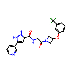 O=C(NCC(=O)N1CC(Oc2cccc(C(F)(F)F)c2)C1)C1C=C(c2cccnc2)NN1